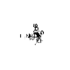 CCCCNC(=O)N(C)N1CC(=O)N2[C@@H](Cc3ccc4occc4c3)C(=O)N(Cc3cccc4sc(N)nc34)C[C@@H]21